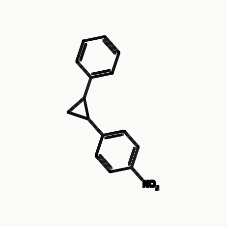 O=[N+]([O-])c1ccc(C2CC2c2ccccc2)cc1